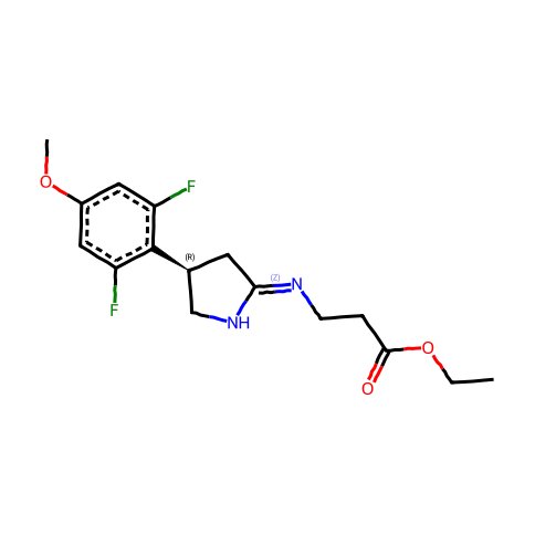 CCOC(=O)CC/N=C1/C[C@H](c2c(F)cc(OC)cc2F)CN1